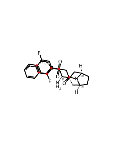 CN(Cc1ccccc1)S(=O)(=O)CC(=O)N1[C@@H]2CC[C@H]1C[C@H]([C@H](N)Cc1cc(F)c(F)cc1F)C2